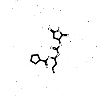 CCCC(OC(=O)OC1CC(=O)NC1=O)OC(=O)C1CCCC1